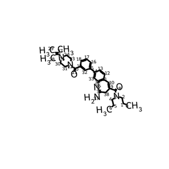 CCCN(CCC)C(=O)C1=Cc2ccc(-c3cccc(C(=O)N4CCN(C(C)(C)C)CC4)c3)cc2N=C(N)C1